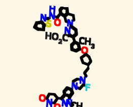 Cc1c(O[C@H]2CC[C@H](CCCN3CCN(c4ccc5c(C6CCC(=O)NC6=O)nn(C)c5c4)CC3F)CC2)cccc1-c1ccc(N2CCc3cccc(C(=O)Nc4nc5ccccc5s4)c3C2)nc1C(=O)O